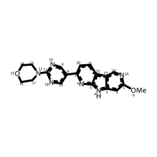 COc1cc2[nH]c3nc(-c4cnc(N5CCOCC5)nc4)ccc3c2cn1